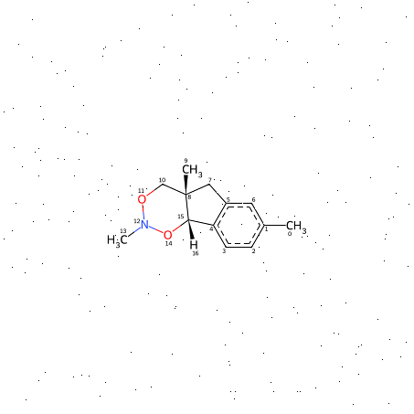 Cc1ccc2c(c1)C[C@@]1(C)CON(C)O[C@@H]21